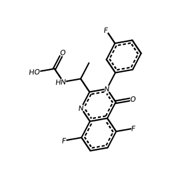 CC(NC(=O)O)c1nc2c(F)ccc(F)c2c(=O)n1-c1cccc(F)c1